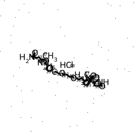 C[C@@H](OCc1ccc(CCCOCCCCOCCCc2cccc3c2n(C)c(=O)n3C2CCC(=O)NC2=O)cc1)[C@@H](N)CCC(N)=O.Cl